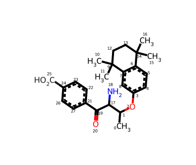 CC(Oc1ccc2c(c1)C(C)(C)CCC2(C)C)C(N)C(=O)c1ccc(C(=O)O)cc1